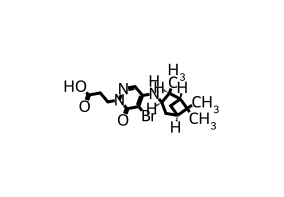 C[C@H]1[C@H]2C[C@H](C[C@H]1Nc1cnn(CCC(=O)O)c(=O)c1Br)C2(C)C